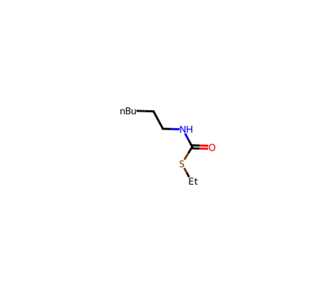 CCCCCCNC(=O)SCC